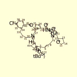 CC(C)(C)[Si](C)(C)OC1/C=C/CCN(CC2CCCO2)S(=O)(=O)NC(=O)c2ccc3c(c2)N(CCCCc2cc(Cl)ccc2CO3)C[C@@H]2CC[C@@H]12